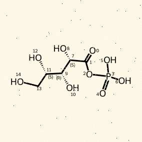 O=C(OP(=O)(O)O)[C@@H](O)[C@H](O)[C@@H](O)CO